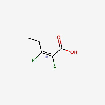 CC/C(F)=C(/F)C(=O)O